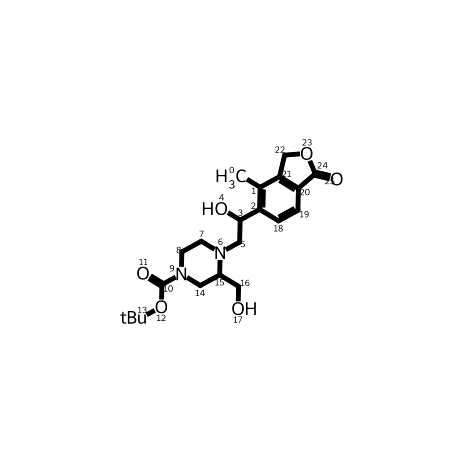 Cc1c(C(O)CN2CCN(C(=O)OC(C)(C)C)CC2CO)ccc2c1COC2=O